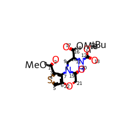 COC(=O)c1scc2c1N(CC(NC(=O)OC(C)(C)C)C(=O)OC)C(=O)CO2